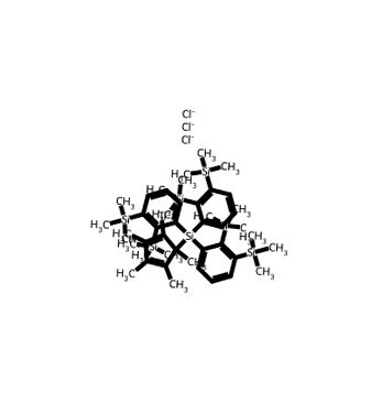 CC1=C(C)C(C)([Si](c2cccc([Si](C)(C)C)c2[Si](C)(C)C)(c2cccc([Si](C)(C)C)c2[Si](C)(C)C)c2cccc([Si](C)(C)C)c2[Si](C)(C)C)[C]([Ti+3])=C1C.[Cl-].[Cl-].[Cl-]